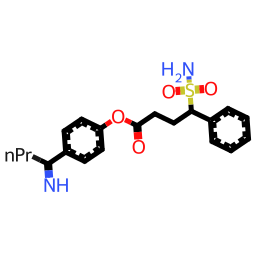 CCCC(=N)c1ccc(OC(=O)CCC(c2ccccc2)S(N)(=O)=O)cc1